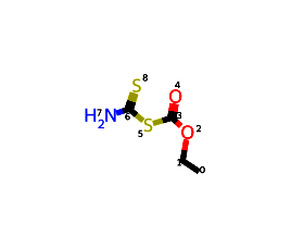 CCOC(=O)SC(N)=S